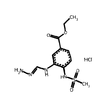 CCOC(=O)c1ccc(NS(C)(=O)=O)c(NC=NN)c1.Cl